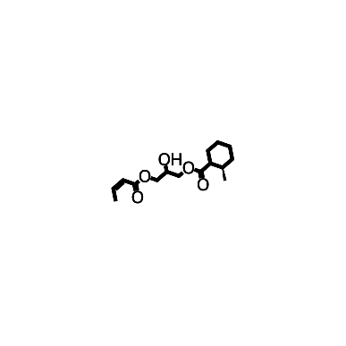 C/C=C\C(=O)OCC(O)COC(=O)C1CCCC[C@H]1C